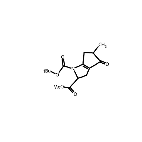 COC(=O)C1CC2=C(CC(C)C2=O)N1C(=O)OC(C)(C)C